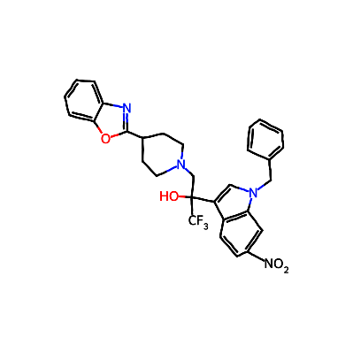 O=[N+]([O-])c1ccc2c(C(O)(CN3CCC(c4nc5ccccc5o4)CC3)C(F)(F)F)cn(Cc3ccccc3)c2c1